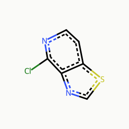 Clc1nccc2scnc12